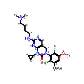 CCOc1cc(OC)c(F)c(N2Cc3cnc(NCCCCN(CC)CC)nc3N(C3CC3)C2=O)c1F